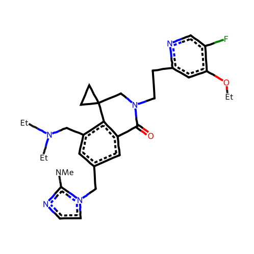 CCOc1cc(CCN2CC3(CC3)c3c(CN(CC)CC)cc(Cn4ccnc4NC)cc3C2=O)ncc1F